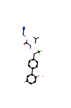 COc1ccc(F)cc1-c1ccc([C@H](N[C@@H](CC(C)C)C(=O)NCC#N)C(F)(F)F)cc1